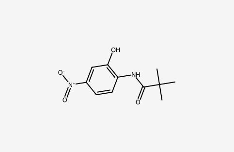 CC(C)(C)C(=O)Nc1ccc([N+](=O)[O-])cc1O